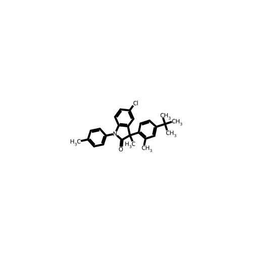 Cc1ccc(N2C(=O)C(C)(c3ccc(C(C)(C)C)cc3C)c3cc(Cl)ccc32)cc1